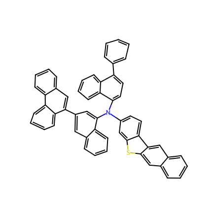 c1ccc(-c2ccc(N(c3ccc4c(c3)sc3cc5ccccc5cc34)c3cc(-c4cc5ccccc5c5ccccc45)cc4ccccc34)c3ccccc23)cc1